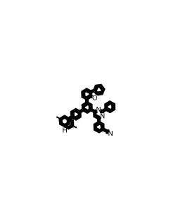 C[C@@H]1C[C@@H]2C[C@H](C)CC(c3ccc(-c4cc(-c5cc(-c6cccc(C#N)c6)nc(-c6ccccc6)n5)cc(-c5cccc6c5oc5ccccc56)c4)cc3)(C1)C2